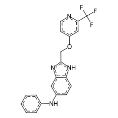 FC(F)(F)c1cc(OCc2nc3cc(Nc4ccccc4)ccc3[nH]2)ccn1